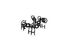 O=C(Nc1ccc(Cl)c(C(F)(F)F)c1)NC1CCc2[nH]c3cc(C(=O)N4CCOCC4)cc(C(=O)N4CCOCC4)c3c2C1